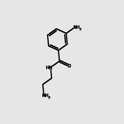 NCCNC(=O)c1cccc(N)c1